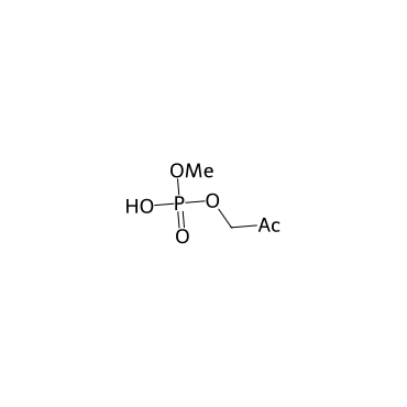 COP(=O)(O)OCC(C)=O